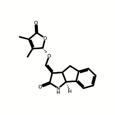 CC1=C(C)[C@@H](O/C=C2/C(=O)N[C@@H]3c4ccccc4CC23)OC1=O